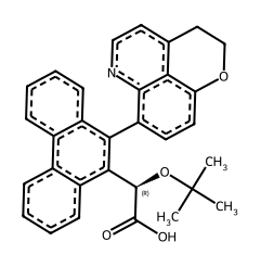 CC(C)(C)O[C@@H](C(=O)O)c1c(-c2ccc3c4c(ccnc24)CCO3)c2ccccc2c2ccccc12